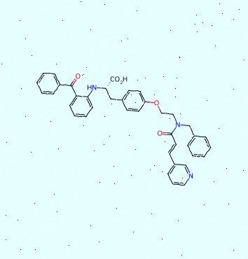 O=C(c1ccccc1)c1ccccc1N[C@@H](Cc1ccc(OCCN(Cc2ccccc2)C(=O)/C=C/c2cccnc2)cc1)C(=O)O